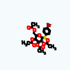 CC(=O)OC[C@H]1O[C@@H](Sc2ccc(Br)cc2)[C@H](OC(C)=O)[C@@H](OC(C)=O)[C@H]1OC(C)=O